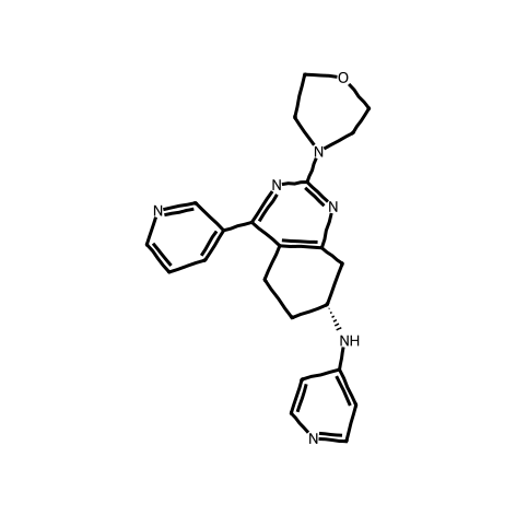 c1cncc(-c2nc(N3CCOCC3)nc3c2CC[C@@H](Nc2ccncc2)C3)c1